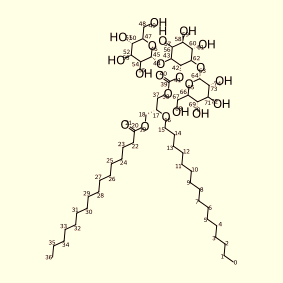 CCCCCCCCCCCCCCCCO[C@H](COC(=O)CCCCCCCCCCCCCCC)COC(=O)O[C@@H]1C(O[C@H]2OC(CO)[C@@H](O)[C@H](O)C2O)C(O)[C@@H](O)[C@H](O)C1O[C@H]1OC(CO)[C@@H](O)C(O)[C@H]1O